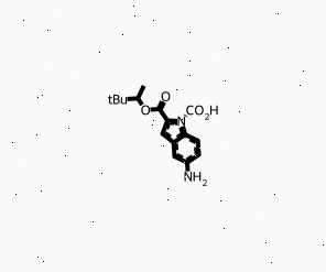 CC(OC(=O)c1cc2cc(N)ccc2n1C(=O)O)C(C)(C)C